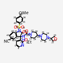 CCOc1ncccc1C1(NC(=O)N2CCC(N3CCN(C4COC4)CC3)CC2)C(=O)N(S(=O)(=O)c2ccc(OC)cc2)c2ccc(C#N)cc21